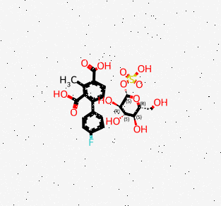 Cc1c(C(=O)O)ccc(-c2ccc(F)cc2)c1C(=O)O.O=S(=O)(O)O[C@@H]1O[C@H](CO)[C@@H](O)[C@H](O)[C@H]1O